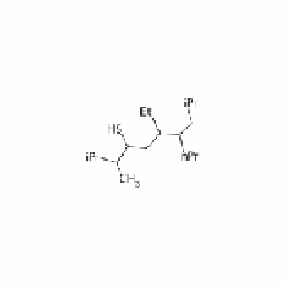 CCCC(CC(C)C)C(CC)CC(S)C(C)C(C)C